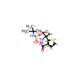 CC(C)(C)NS(=O)(=O)NC1(c2sccc2C(=O)O)COC1